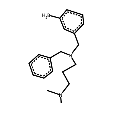 Bc1cccc(CN(CCCN(C)C)Cc2ccccc2)c1